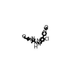 COCC12CC(n3ncc(Nc4ncc5cc(Cl)c(C6CCN(C7COC7)CC6)cc5n4)c3C)(C1)C2